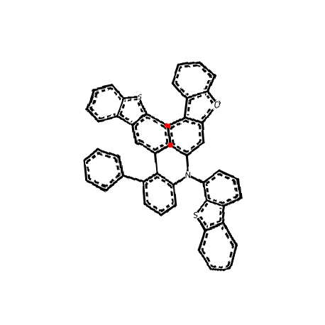 c1ccc(-c2cccc(N(c3ccc4c(c3)oc3ccccc34)c3cccc4c3sc3ccccc34)c2-c2ccc3sc4ccccc4c3c2)cc1